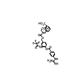 N=C(N)Nc1ccc(C(=O)Oc2ccc(COC(=O)N(CC(=O)O)Cc3cccc(C(=O)O)c3)cc2)cc1.O=C(O)C(F)(F)F